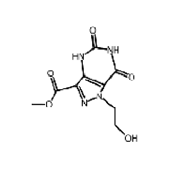 COC(=O)c1nn(CCO)c2c(=O)[nH]c(=O)[nH]c12